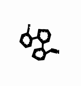 N#Cc1ccccc1-c1ccccc1-c1ccccc1F